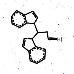 [Hf]=[CH]CC(C1C=Cc2ccccc21)C1C=Cc2ccccc21